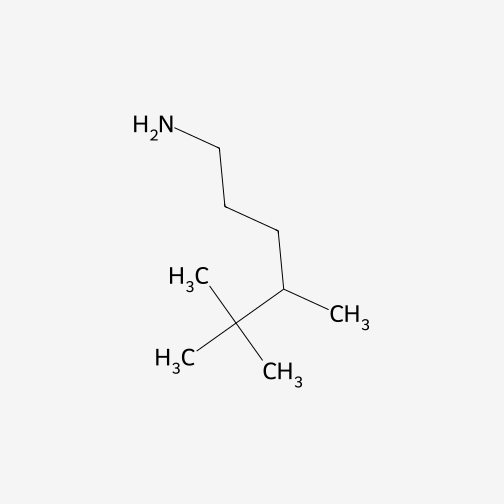 CC(CCCN)C(C)(C)C